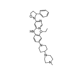 CCOc1cc(N2CCC(N3CCN(C)CC3)CC2)ccc1Nc1cc(N2OCCC2c2ccccc2)ncn1